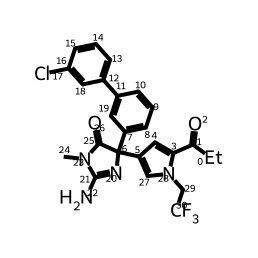 CCC(=O)c1cc(C2(c3cccc(-c4cccc(Cl)c4)c3)N=C(N)N(C)C2=O)cn1CC(F)(F)F